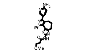 COCCC(=O)Nc1nc2c(s1)-c1c(c(-c3ccc(N)nc3)nn1C(C)C)CCC2